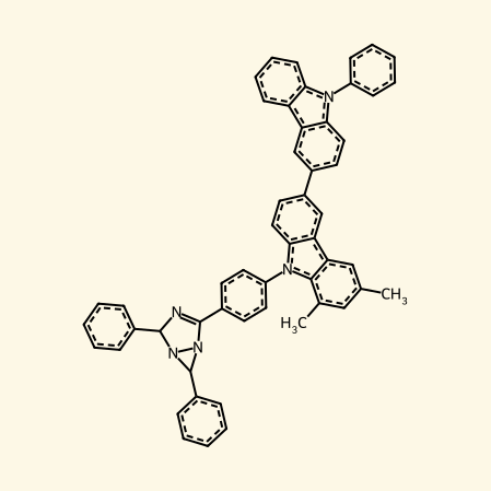 Cc1cc(C)c2c(c1)c1cc(-c3ccc4c(c3)c3ccccc3n4-c3ccccc3)ccc1n2-c1ccc(C2=NC(c3ccccc3)N3C(c4ccccc4)N23)cc1